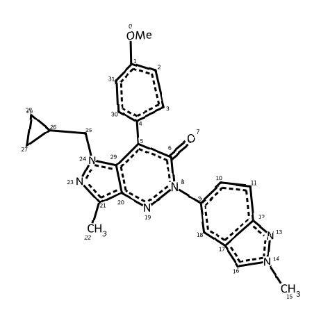 COc1ccc(-c2c(=O)n(-c3ccc4nn(C)cc4c3)nc3c(C)nn(CC4CC4)c23)cc1